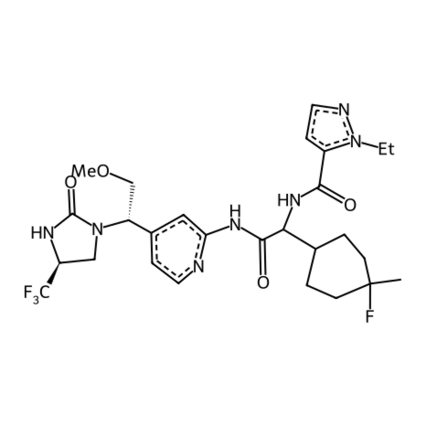 CCn1nccc1C(=O)NC(C(=O)Nc1cc([C@@H](COC)N2C[C@@H](C(F)(F)F)NC2=O)ccn1)C1CCC(C)(F)CC1